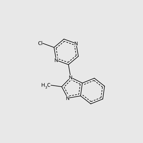 Cc1nc2ccccc2n1-c1cncc(Cl)n1